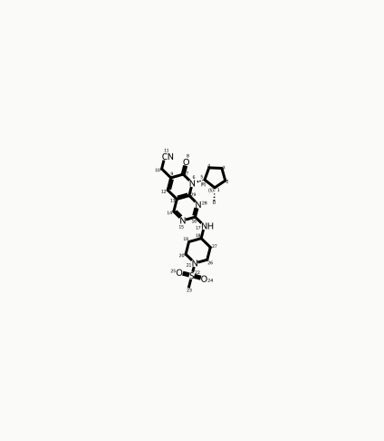 C[C@H]1CCC[C@H]1n1c(=O)c(CC#N)cc2cnc(NC3CCN(S(C)(=O)=O)CC3)nc21